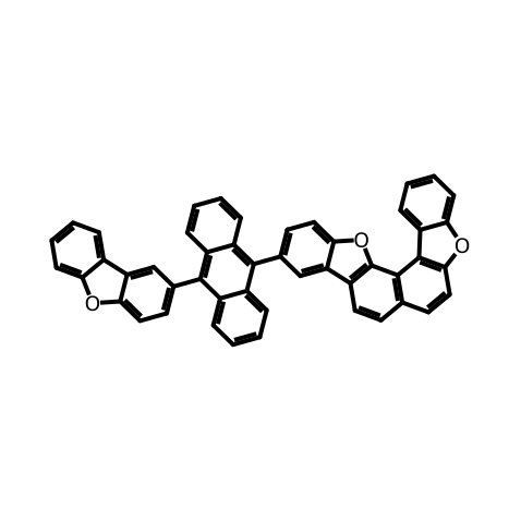 c1ccc2c(c1)oc1ccc(-c3c4ccccc4c(-c4ccc5oc6c(ccc7ccc8oc9ccccc9c8c76)c5c4)c4ccccc34)cc12